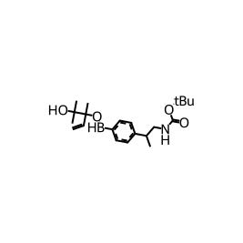 C=CC(C)(OBc1ccc(C(C)CNC(=O)OC(C)(C)C)cc1)C(C)(C)O